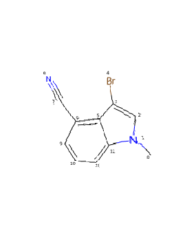 Cn1cc(Br)c2c(C#N)cccc21